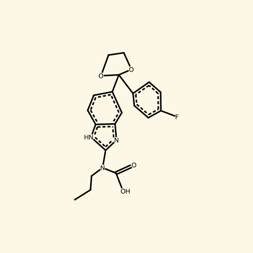 CCCN(C(=O)O)c1nc2cc(C3(c4ccc(F)cc4)OCCO3)ccc2[nH]1